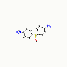 NC1CCC([S+]([O-])C2CCC(N)CC2)CC1